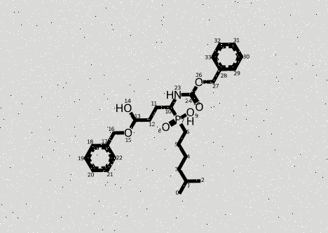 CC(C)CCCCP(=O)(O)C(CCC(O)OCc1ccccc1)NC(=O)OCc1ccccc1